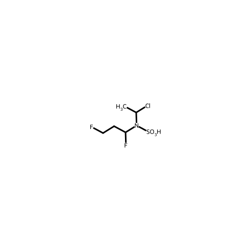 CC(Cl)N(C(F)CCF)S(=O)(=O)O